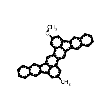 COc1cc2c3cc4ccccc4cc3c3cc4c(cc5c6cc7ccccc7cc6c6cc(C)cc4c65)c(c1)c23